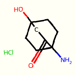 Cl.NC12CCC(O)(CC1)CC2=O